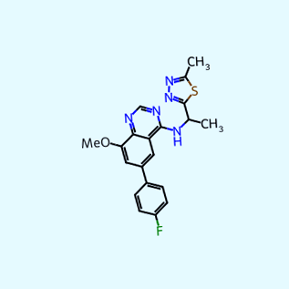 COc1cc(-c2ccc(F)cc2)cc2c(NC(C)c3nnc(C)s3)ncnc12